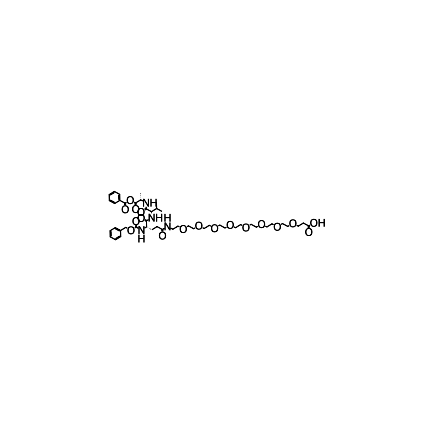 CC(C)[C@H](NC(=O)[C@H](CCC(=O)NCCOCCOCCOCCOCCOCCOCCOCCOCCC(=O)O)NC(=O)OCc1ccccc1)C(=O)N[C@@H](C)C(=O)OC(=O)c1ccccc1